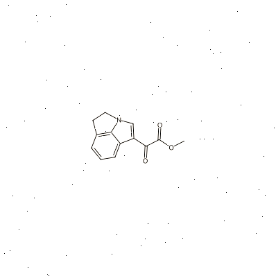 COC(=O)C(=O)c1cn2c3c(cccc13)CC2